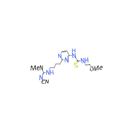 CN/C(=N/C#N)NCCCCc1nccc(NC(=S)NCCOC)n1